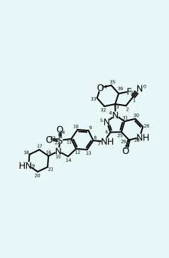 N#CCC1(n2nc(Nc3ccc4c(c3)CN(C3CCNCC3)S4(=O)=O)c3c(=O)[nH]ccc32)CCOCC1F